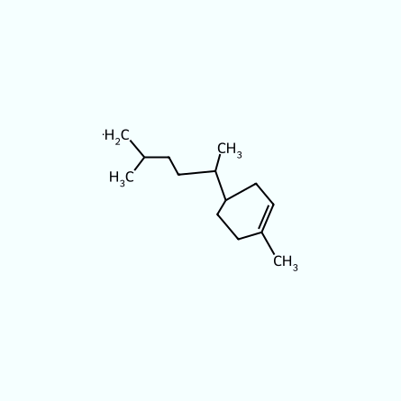 [CH2]C(C)CCC(C)C1CC=C(C)CC1